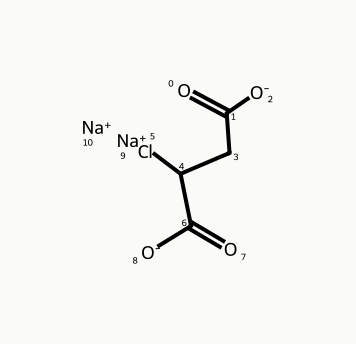 O=C([O-])CC(Cl)C(=O)[O-].[Na+].[Na+]